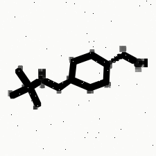 CC(C)(C)NC[C@H]1CC[C@H](CO)CC1